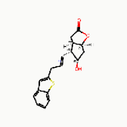 O=C1C[C@@H]2[C@@H](/C=C/Cc3cc4ccccc4s3)[C@H](O)C[C@@H]2O1